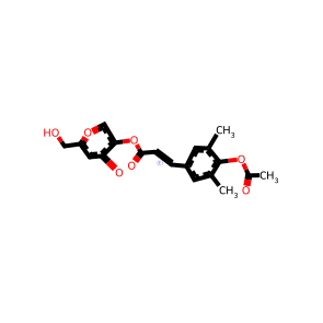 CC(=O)Oc1c(C)cc(/C=C/C(=O)Oc2coc(CO)cc2=O)cc1C